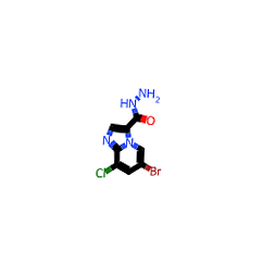 NNC(=O)c1cnc2c(Cl)cc(Br)cn12